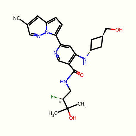 CC(C)(O)[C@H](F)CNC(=O)c1cnc(-c2ccc3cc(C#N)cnn23)cc1N[C@H]1C[C@H](CO)C1